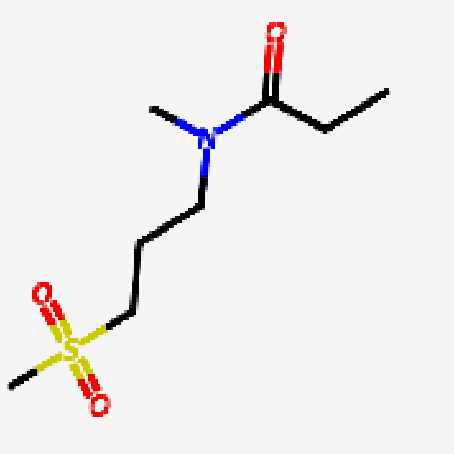 CCC(=O)N(C)CCCS(C)(=O)=O